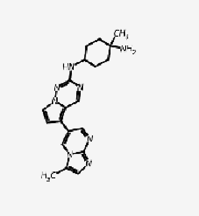 Cc1cnc2ncc(-c3ccn4nc(NC5CCC(C)(N)CC5)ncc34)cn12